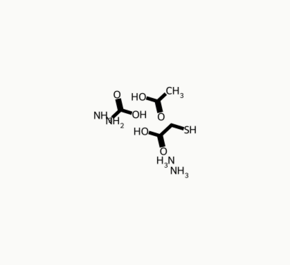 CC(=O)O.N.N.N.NC(=O)O.O=C(O)CS